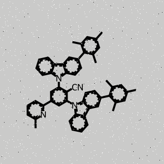 Cc1cc(C)c(-c2ccc3c(c2)c2ccccc2n3-c2cc(-c3cccc(C)n3)cc(-n3c4ccccc4c4cc(-c5c(C)cc(C)cc5C)ccc43)c2C#N)c(C)c1